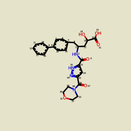 O=C(NC(Cc1ccc(-c2ccccc2)cc1)CC(O)C(=O)O)c1cc(C(=O)N2CCOCC2)n[nH]1